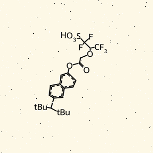 CC(C)(C)C(c1ccc2cc(OC(=O)COC(C(F)(F)F)C(F)(F)S(=O)(=O)O)ccc2c1)C(C)(C)C